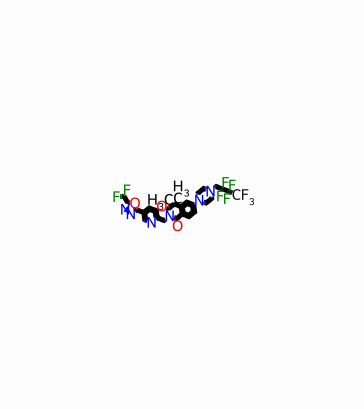 CC1(C)C(=O)N(Cc2ccc(-c3nnc(C(F)F)o3)cn2)C(=O)c2ccc(N3CCN(CC(F)(F)C(F)(F)C(F)(F)F)CC3)cc21